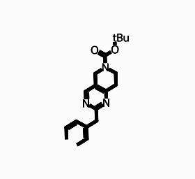 C/C=C\C(=C/C)Cc1ncc2c(n1)CCN(C(=O)OC(C)(C)C)C2